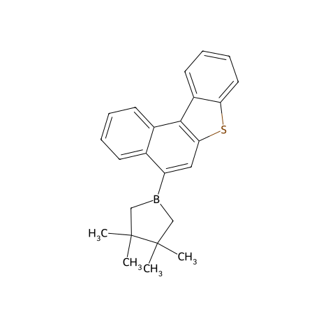 CC1(C)CB(c2cc3sc4ccccc4c3c3ccccc23)CC1(C)C